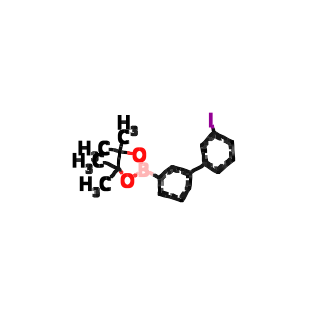 CC1(C)OB(c2cccc(-c3cccc(I)c3)c2)OC1(C)C